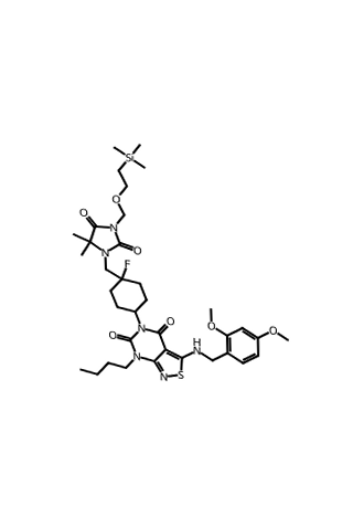 CCCCn1c(=O)n(C2CCC(F)(CN3C(=O)N(COCC[Si](C)(C)C)C(=O)C3(C)C)CC2)c(=O)c2c(NCc3ccc(OC)cc3OC)snc21